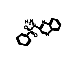 NN(c1cnc2ccccc2n1)S(=O)(=O)c1ccccc1